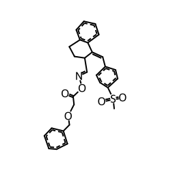 CS(=O)(=O)c1ccc(C=C2c3ccccc3CCC2C=NOC(=O)COCc2ccccc2)cc1